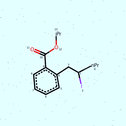 CCCC(I)Cc1ccccc1C(=O)OC(C)C